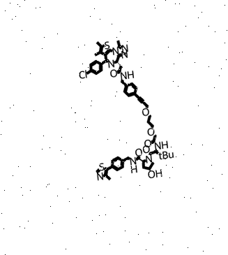 Cc1ncsc1-c1ccc(CNC(=O)[C@@H]2C[C@@H](O)CN2C(=O)C(NC(=O)COCCCOCC#Cc2ccc(CNC(=O)C[C@@H]3N=C(c4ccc(Cl)cc4)c4c(sc(C)c4C)-n4c(C)nnc43)cc2)C(C)(C)C)cc1